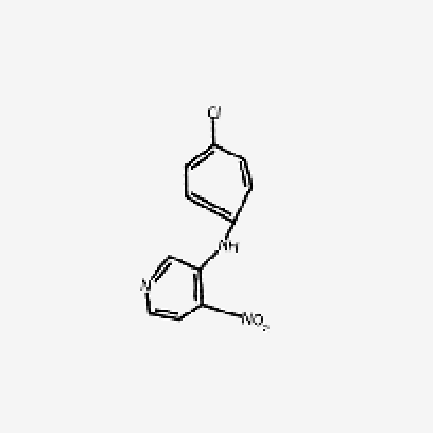 O=[N+]([O-])c1ccncc1Nc1ccc(Cl)cc1